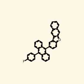 Fc1ccc(-c2c3ccccc3c(-c3ccc4oc5cc6ccccc6cc5c4c3)c3ccccc23)cc1